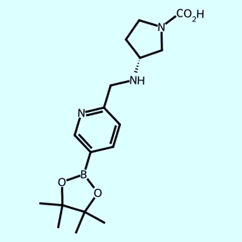 CC1(C)OB(c2ccc(CN[C@@H]3CCN(C(=O)O)C3)nc2)OC1(C)C